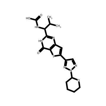 CC(C)C(NC(=O)O)c1nc2cc(-c3cnn(C4CCCCO4)n3)sc2c(=O)[nH]1